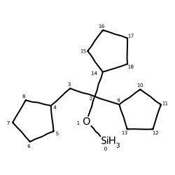 [SiH3]OC(CC1CCCC1)(C1CCCC1)C1CCCC1